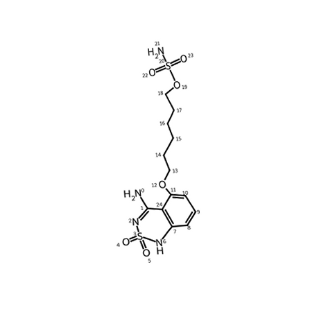 NC1=NS(=O)(=O)Nc2cccc(OCCCCCCOS(N)(=O)=O)c21